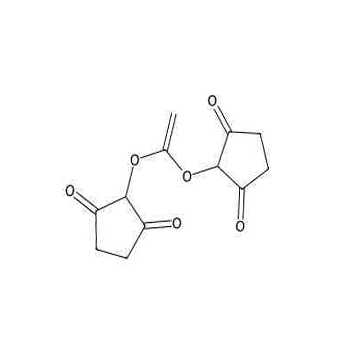 C=C(OC1C(=O)CCC1=O)OC1C(=O)CCC1=O